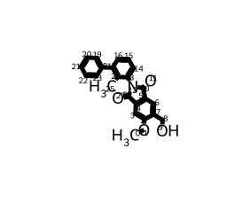 COc1cc2c(cc1CO)C(=O)N(c1cccc(-c3ccccc3)c1C)C2=O